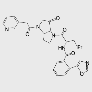 CC(C)CC(NC(=O)c1ccccc1-c1cnco1)C(=O)N1CCC2C1C(=O)CN2C(=O)Cc1cccnc1